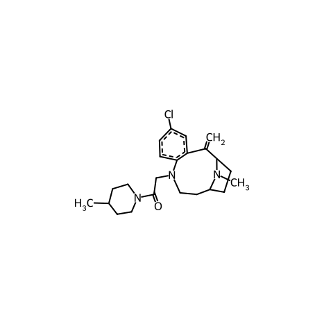 C=C1c2cc(Cl)ccc2N(CC(=O)N2CCC(C)CC2)CCC2CCC1N2C